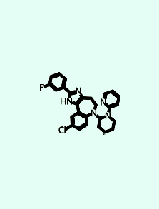 Fc1cccc(-c2nc3c([nH]2)-c2cc(Cl)ccc2N(C2C[C]CCN2c2ccccn2)CC3)c1